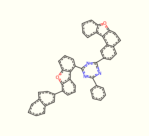 c1ccc(-c2nc(-c3ccc4ccc5oc6ccccc6c5c4c3)nc(-c3cccc4oc5c(-c6ccc7ccccc7c6)cccc5c34)n2)cc1